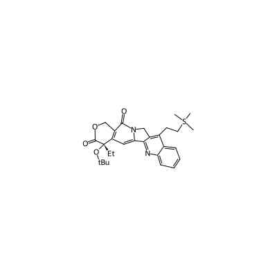 CC[C@@]1(OC(C)(C)C)C(=O)OCc2c1cc1n(c2=O)Cc2c-1nc1ccccc1c2CCS(C)(C)C